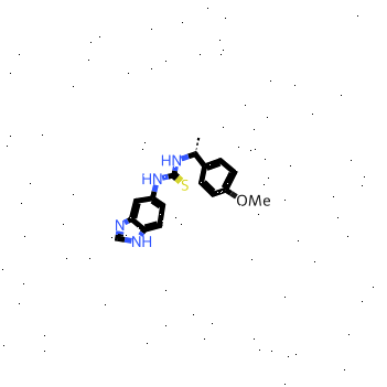 COc1ccc([C@@H](C)NC(=S)Nc2ccc3[nH]cnc3c2)cc1